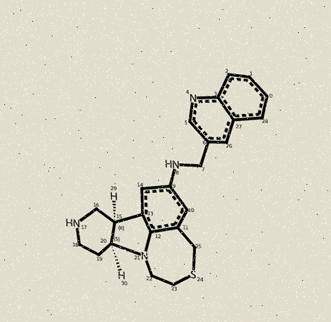 c1ccc2ncc(CNc3cc4c5c(c3)[C@@H]3CNCC[C@@H]3N5CCSC4)cc2c1